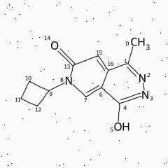 Cc1nnc(O)c2cn(C3CCC3)c(=O)cc12